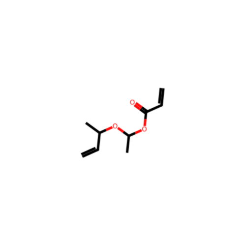 C=CC(=O)OC(C)OC(C)C=C